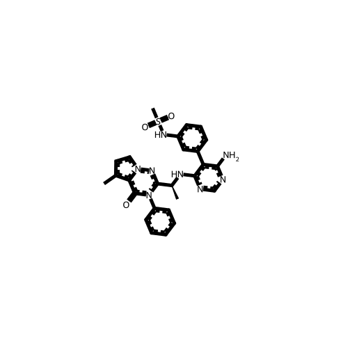 Cc1ccn2nc([C@H](C)Nc3ncnc(N)c3-c3cccc(NS(C)(=O)=O)c3)n(-c3ccccc3)c(=O)c12